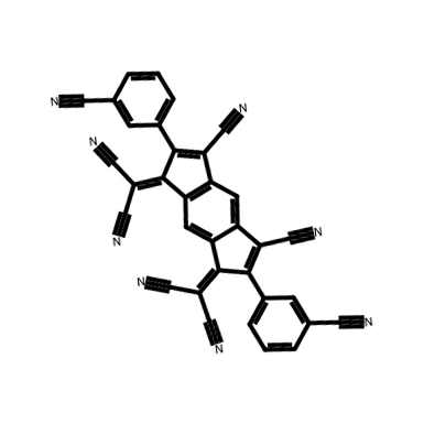 N#CC(C#N)=C1C(c2cccc(C#N)c2)=C(C#N)c2cc3c(cc21)C(=C(C#N)C#N)C(c1cccc(C#N)c1)=C3C#N